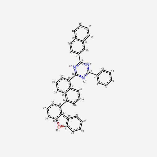 c1ccc(-c2nc(-c3ccc4ccccc4c3)nc(-c3cccc4c(-c5cccc6oc7ccccc7c56)cccc34)n2)cc1